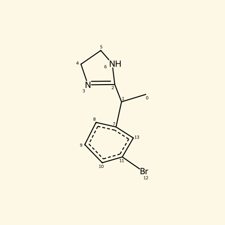 CC(C1=NCCN1)c1cccc(Br)c1